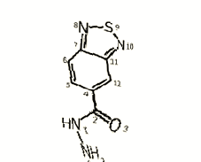 NNC(=O)c1ccc2nsnc2c1